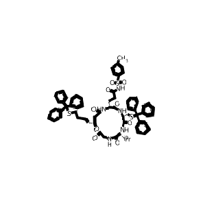 Cc1ccc(S(=O)(=O)NC(=O)CC[C@H]2NC(=O)C[C@@H](C=CCCSC(c3ccccc3)(c3ccccc3)c3ccccc3)OC(=O)CNC(=O)[C@@H](C(C)C)NC(=O)[C@@H](CSC(c3ccccc3)(c3ccccc3)c3ccccc3)NC2=O)cc1